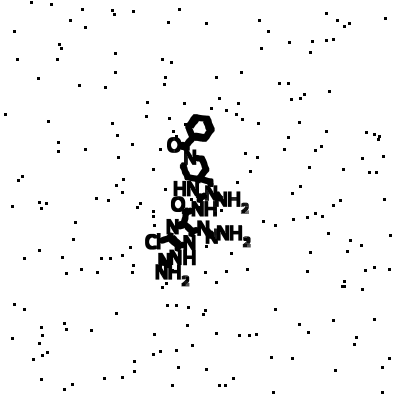 NN=NC1=C(Cl)N=C(C(=O)NC2NC3(CCN(C(=O)c4ccccc4)CC3)CN2N)C(N=NN)N1